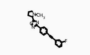 CN1CCCC1c1nc(-c2ccc(C#Cc3cccc(F)c3)cc2)no1